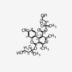 Cc1nc(C)c(C(=O)OC(C)(C)CCO)c(-c2ccc(Cl)cc2)c1C(=O)OC(C)(C)CCO